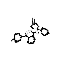 Cc1ccc(C(=O)c2ccccc2C(=O)OC2(c3ccccc3)CCNCC2)cc1